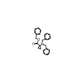 O=C(OCc1ccccc1)C1(N(Cc2ccccc2)Cc2ccccc2)CC1